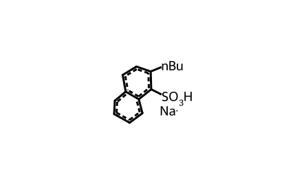 CCCCc1ccc2ccccc2c1S(=O)(=O)O.[Na]